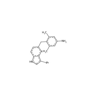 Cc1cc(N)cc(C)c1Cc1ccc2[nH]cc(C(C)C)c2n1